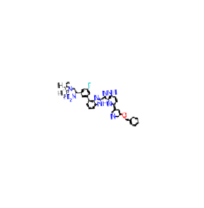 CN(C)CC(N)c1cc(F)cc(-c2cccc3[nH]c(-c4n[nH]c5ccc(-c6cncc(OCc7ccccc7)c6)nc45)nc23)c1